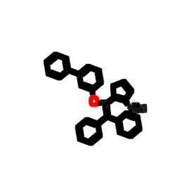 CC(C)(C)C1=[C]([Ti]([O]c2cccc(-c3ccccc3)c2)=[C](c2ccccc2)c2ccccc2)CC=C1